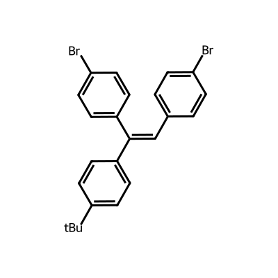 CC(C)(C)c1ccc(C(=Cc2ccc(Br)cc2)c2ccc(Br)cc2)cc1